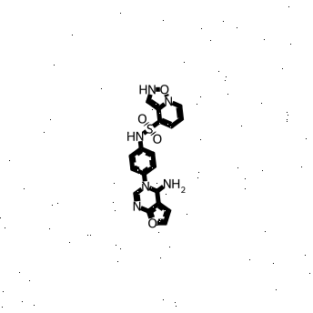 NC1c2ccoc2N=CN1c1ccc(NS(=O)(=O)C2=CC=CN3ONC=C23)cc1